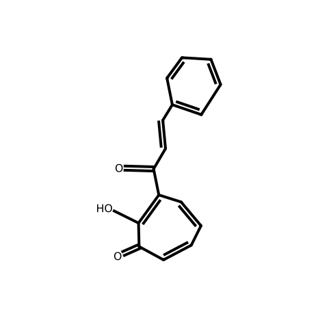 O=C(C=Cc1ccccc1)c1ccccc(=O)c1O